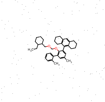 CCC1CCCCC1COCOc1c(-c2ccccc2C)cc(C)cc1-c1c2c(cc3c1CCCC3)CCCC2